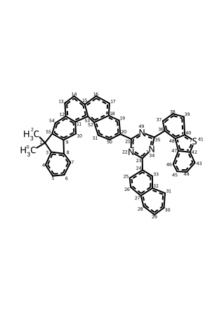 CC1(C)c2ccccc2-c2cc3c(ccc4ccc5cc(-c6nc(-c7ccc8ccccc8c7)nc(-c7cccc8sc9ccccc9c78)n6)ccc5c43)cc21